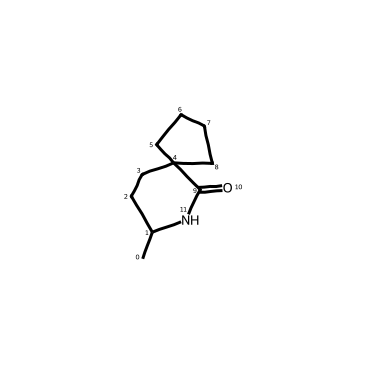 CC1CCC2(CCCC2)C(=O)N1